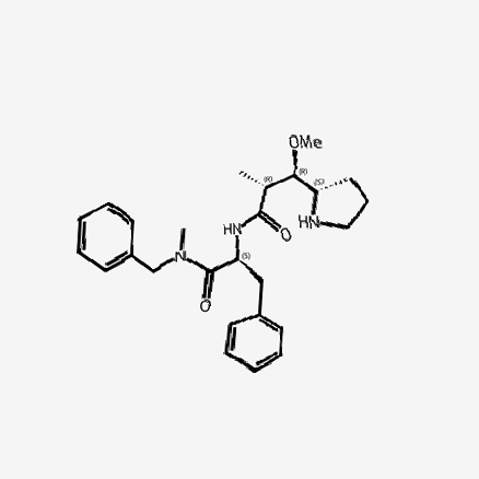 CO[C@@H]([C@@H]1CCCN1)[C@@H](C)C(=O)N[C@@H](Cc1ccccc1)C(=O)N(C)Cc1ccccc1